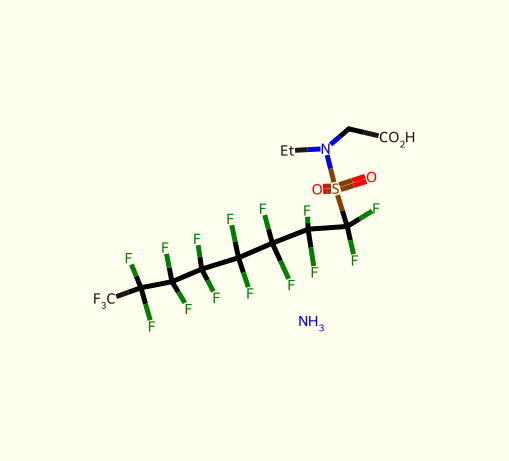 CCN(CC(=O)O)S(=O)(=O)C(F)(F)C(F)(F)C(F)(F)C(F)(F)C(F)(F)C(F)(F)C(F)(F)C(F)(F)F.N